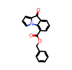 O=C(OCc1ccccc1)c1cccc2c1-n1cccc1C2=O